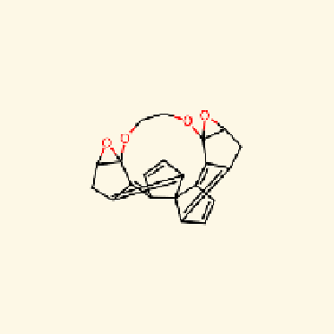 C1=CC2=C3C4=C1C21C2=C5CC6OC6(OCCOC36OC6C4)C5=C1C=C2